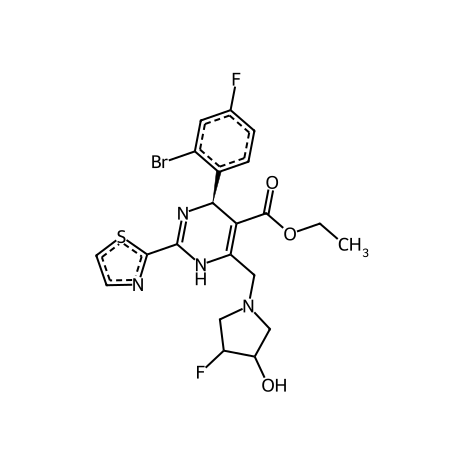 CCOC(=O)C1=C(CN2CC(O)C(F)C2)NC(c2nccs2)=N[C@H]1c1ccc(F)cc1Br